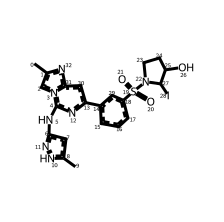 Cc1cn2c(Nc3cc(C)[nH]n3)nc(-c3cccc(S(=O)(=O)N4CCC(O)C4I)c3)cc2n1